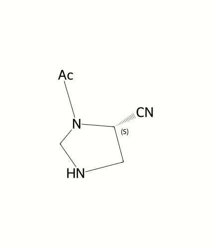 CC(=O)N1CNC[C@H]1C#N